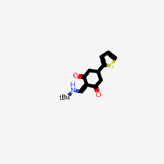 CC(C)(C)NC=C1C(=O)CC(c2cccs2)CC1=O